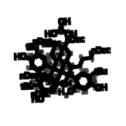 CCCCCCCCCCCCCC(CCCCCCCCCCCCC)C(CCCCCCCCCCCCC)(c1cc(C(C)(C)C)c(O)cc1C)C(CCCCCCCCCCCCC)(CCCCCCCCCCCCC)C(CCCCCCCCCCCCC)(c1cc(C(C)(C)C)c(O)cc1C)c1cc(C(C)(C)C)c(O)cc1C.OP(O)O